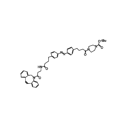 CC(C)(C)OC(=O)N1CCN(C(=O)CCCc2ccc(N=Nc3ccc(CCCC(=O)NCCC(=O)N4Cc5ccccc5C#Cc5ccccc54)cc3)cc2)CC1